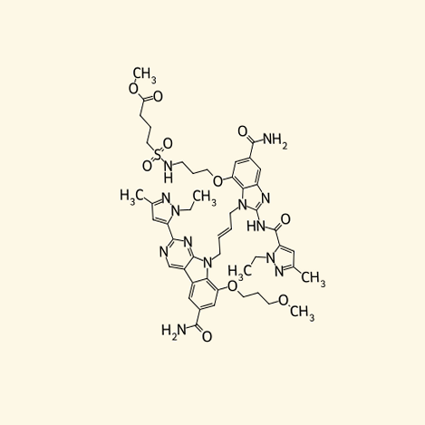 CCn1nc(C)cc1C(=O)Nc1nc2cc(C(N)=O)cc(OCCCNS(=O)(=O)CCCC(=O)OC)c2n1C/C=C/Cn1c2nc(-c3cc(C)nn3CC)ncc2c2cc(C(N)=O)cc(OCCCOC)c21